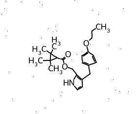 CCCOc1ccc(Cc2cc[nH]c2COC(=O)C2C(C)(C)C2(C)C)cc1